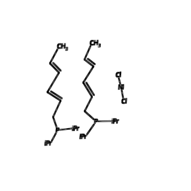 CC=CC=CCP(C(C)C)C(C)C.CC=CC=CCP(C(C)C)C(C)C.[Cl][Ni][Cl]